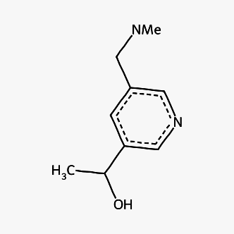 CNCc1cncc(C(C)O)c1